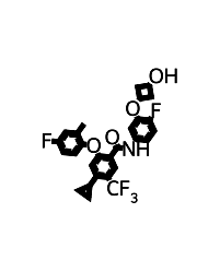 Cc1cc(F)ccc1Oc1cc(C2CC2)c(C(F)(F)F)cc1C(=O)Nc1ccc(F)c(OC2CC(O)C2)c1